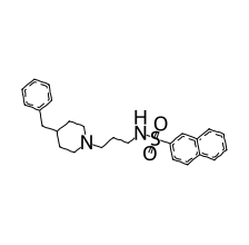 O=S(=O)(NCCCN1CCC(Cc2ccccc2)CC1)c1ccc2ccccc2c1